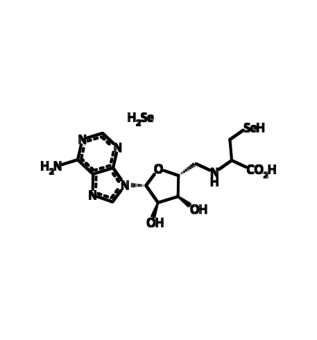 Nc1ncnc2c1ncn2[C@@H]1O[C@H](CNC(C[SeH])C(=O)O)[C@@H](O)[C@H]1O.[SeH2]